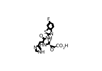 O=C(Nc1nc2ccc(F)cc2s1)C(Cc1c[nH]cn1)NC(=O)[C@H]1O[C@@H]1C(=O)O